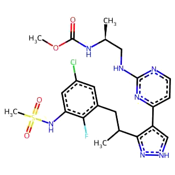 COC(=O)N[C@@H](C)CNc1nccc(-c2c[nH]nc2C(C)Cc2cc(Cl)cc(NS(C)(=O)=O)c2F)n1